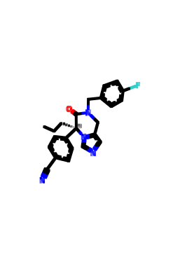 CCC[C@]1(c2ccc(C#N)cc2)C(=O)N(Cc2ccc(F)cc2)Cc2cncn21